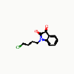 O=C1C(=O)N(CCCCCl)c2ccccc21